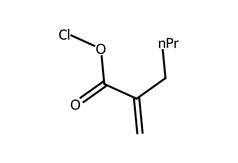 C=C(CCCC)C(=O)OCl